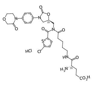 Cl.N[C@@H](CCC(=O)O)C(=O)NCCCCC(=O)N(C[C@H]1CN(c2ccc(N3CCOCC3=O)cc2)C(=O)O1)C(=O)c1ccc(Cl)s1